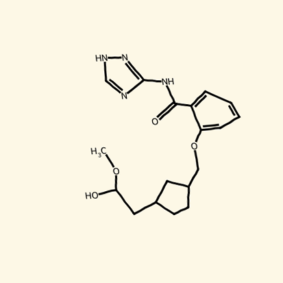 COC(O)CC1CCC(COc2ccccc2C(=O)Nc2nc[nH]n2)C1